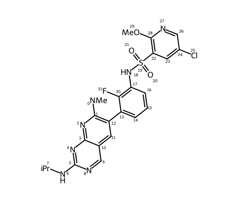 CNc1nc2nc(NC(C)C)ncc2cc1-c1cccc(NS(=O)(=O)c2cc(Cl)cnc2OC)c1F